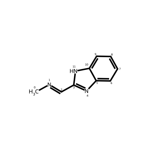 C/N=C/c1nc2ccccc2[nH]1